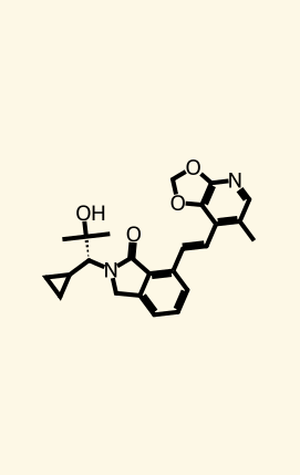 Cc1cnc2c(c1C=Cc1cccc3c1C(=O)N([C@H](C1CC1)C(C)(C)O)C3)OCO2